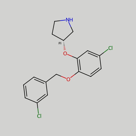 Clc1cccc(COc2ccc(Cl)cc2O[C@@H]2CCNC2)c1